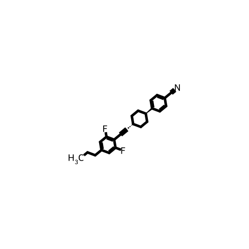 CCCc1cc(F)c(C#C[C@H]2CC[C@H](c3ccc(C#N)cc3)CC2)c(F)c1